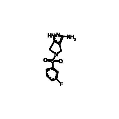 Nc1n[nH]c2c1CN(S(=O)(=O)c1cccc(F)c1)C2